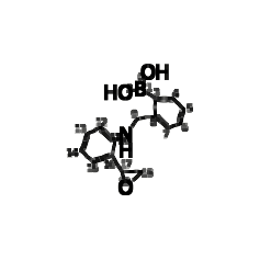 OB(O)c1ccccc1CNc1ccccc1C1CO1